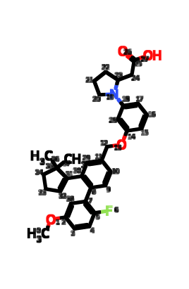 COc1ccc(F)c(-c2ccc(COc3cccc(N4CCCC4CC(=O)O)c3)cc2C2=CCCC2(C)C)c1